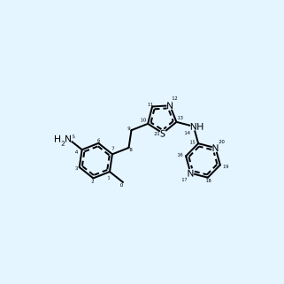 Cc1ccc(N)cc1CCc1cnc(Nc2cnccn2)s1